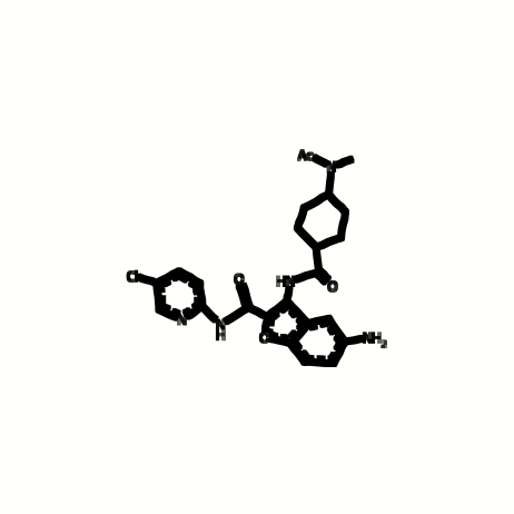 CC(=O)N(C)C1CCC(C(=O)Nc2c(C(=O)Nc3ccc(Cl)cn3)oc3ccc(N)cc23)CC1